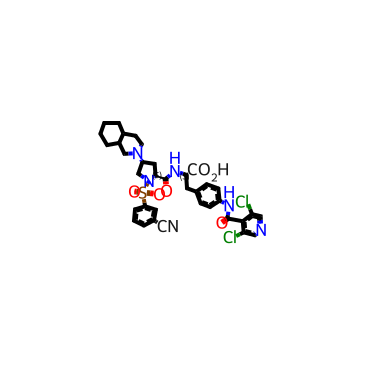 N#Cc1cccc(S(=O)(=O)N2CC(N3CCC4CCCCC4C3)C[C@H]2C(=O)N[C@@H](Cc2ccc(NC(=O)c3c(Cl)cncc3Cl)cc2)C(=O)O)c1